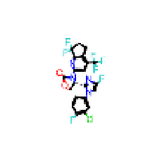 O=C1OC[C@@H](c2nc(F)cn2-c2ccc(F)c(Cl)c2)N1c1cc(C(F)(F)F)c2c(n1)C(F)(F)CC2